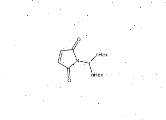 CCCCCCC(CCCCCC)N1C(=O)C=CC1=O